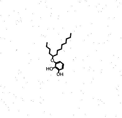 CCCCCCCCC(CCCC)Oc1cccc(O)c1O